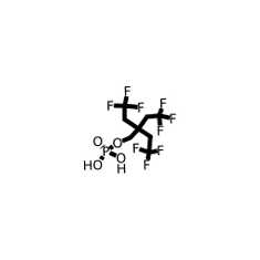 O=P(O)(O)OCC(CC(F)(F)F)(CC(F)(F)F)CC(F)(F)F